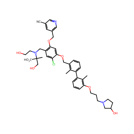 Cc1c(COc2cc(OCc3cncc(C#N)c3)c(CN(CCO)C(C)(CO)C(=O)O)cc2Cl)cccc1-c1cccc(OCCCN2CCC(O)C2)c1C